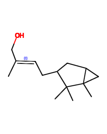 C/C(=C\CC1CC2CC2(C)C1(C)C)CO